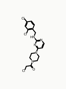 O=C(CCl)N1CCN(c2ccnc(NCc3ccc(Cl)cc3Cl)n2)CC1